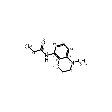 CN1CCOc2c(NC(=O)CCl)cccc21